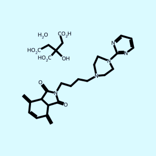 C=C1C=CC(=C)C2C(=O)N(CCCCN3CCN(c4ncccn4)CC3)C(=O)C12.O.O=C(O)CC(O)(CC(=O)O)C(=O)O